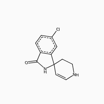 O=C1NC2(C=CNCC2)c2cc(Cl)ccc21